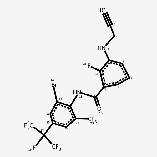 C#CCNc1cccc(C(=O)Nc2c(Br)cc(C(F)(C(F)(F)F)C(F)(F)F)cc2C(F)(F)F)c1F